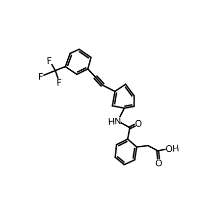 O=C(O)Cc1ccccc1C(=O)Nc1cccc(C#Cc2cccc(C(F)(F)F)c2)c1